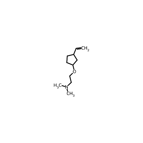 C=CC1CCC(OCCN(C)C)C1